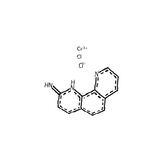 N=c1ccc2ccc3cccnc3c2[nH]1.[Cl-].[Cl-].[Cr+2]